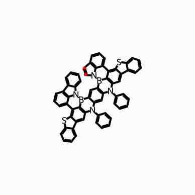 c1ccc(N2c3cc4c(cc3B3c5c2cc2c(sc6ccccc62)c5-c2cccc5c6ccccc6n3c25)B2c3c(cc5c(sc6ccccc65)c3-c3cccc5c6ccccc6n2c35)N4c2ccccc2)cc1